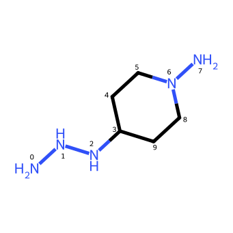 NNNC1CCN(N)CC1